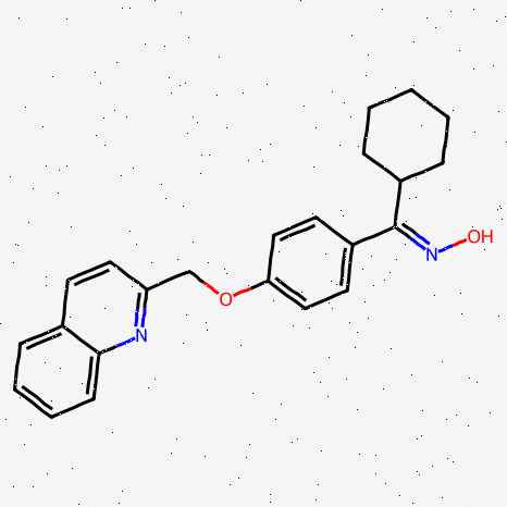 O/N=C(/c1ccc(OCc2ccc3ccccc3n2)cc1)C1CCCCC1